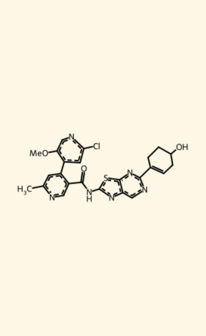 COc1cnc(Cl)cc1-c1cc(C)ncc1C(=O)Nc1nc2cnc(C3=CCC(O)CC3)nc2s1